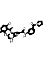 CC(c1c(Cl)ccc(F)c1Cl)N1CCNc2c1c1c(C(=O)Nc3cccc(C(=O)N4CCCC4)c3)n2-1